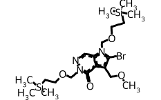 COCc1c(Br)n(COCC[Si](C)(C)C)c2cnn(COCC[Si](C)(C)C)c(=O)c12